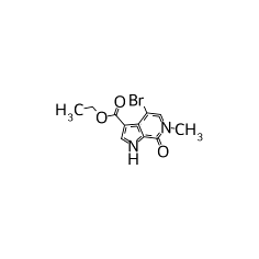 CCOC(=O)c1c[nH]c2c(=O)n(C)cc(Br)c12